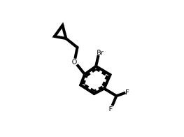 FC(F)c1ccc(OCC2CC2)c(Br)c1